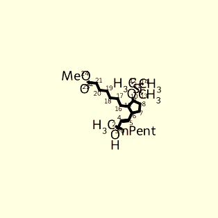 CCCCCC(C)(O)/C=C/C1CCC(O[Si](C)(C)C)C1CCCCCCC(=O)OC